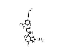 Cn1cc(C(=O)NCC(F)(F)c2ncc(C#CCF)cc2Cl)c(C(F)F)n1